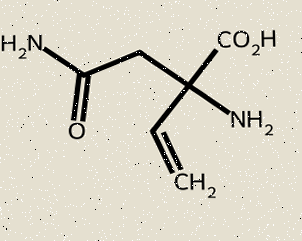 C=CC(N)(CC(N)=O)C(=O)O